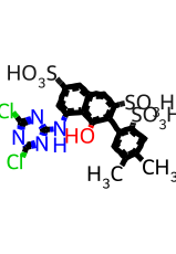 Cc1cc(-c2c(S(=O)(=O)O)cc3cc(S(=O)(=O)O)cc(Nc4nc(Cl)nc(Cl)n4)c3c2O)c(S(=O)(=O)O)cc1C